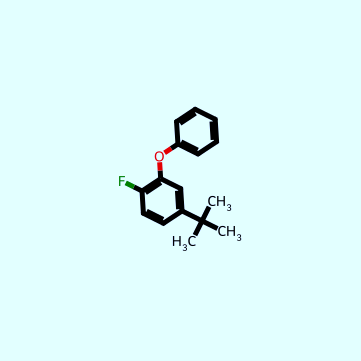 CC(C)(C)c1ccc(F)c(Oc2ccccc2)c1